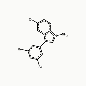 CC(=O)c1cc(Br)cc(-c2cn(N)c3ncc(Cl)cc23)c1